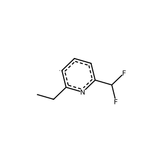 CCc1[c]ccc(C(F)F)n1